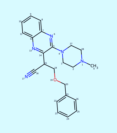 CN1CCN(c2nc3ccccc3nc2C(C#N)COCc2ccccc2)CC1